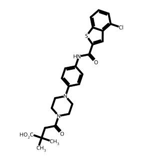 CC(C)(CC(=O)N1CCN(c2ccc(NC(=O)c3cc4c(Cl)cccc4s3)cc2)CC1)C(=O)O